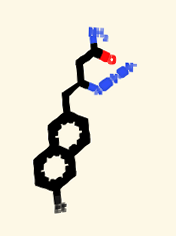 CCc1ccc2cc(C[C@@H](CC(N)=O)N=[N+]=[N-])ccc2c1